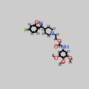 COc1cc(NC(=O)OCCN2CCC(c3noc4cc(F)ccc34)CC2)cc(OC)c1OC